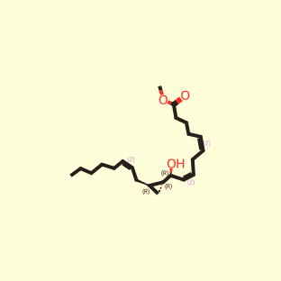 CCCCC/C=C\C[C@@H]1C[C@H]1[C@@H](O)/C=C\C/C=C\CCCC(=O)OC